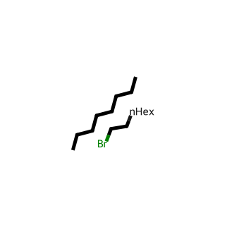 CCCCCCCC.CCCCCCCCBr